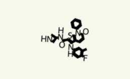 Cc1cc(Nc2c(C(=O)NC3CNC3)sc3c2ccc(=O)n3-c2ccccc2)ccc1F